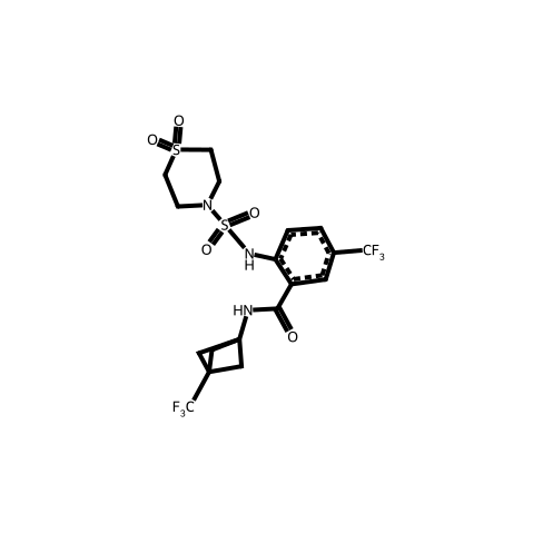 O=C(NC12CC(C(F)(F)F)(C1)C2)c1cc(C(F)(F)F)ccc1NS(=O)(=O)N1CCS(=O)(=O)CC1